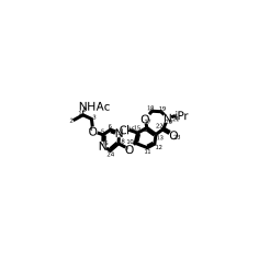 CC(=O)N[C@@H](C)COc1cnc(Oc2ccc3c(c2Cl)OCCN(C(C)C)C3=O)cn1